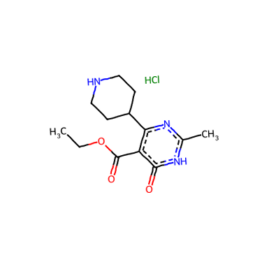 CCOC(=O)c1c(C2CCNCC2)nc(C)[nH]c1=O.Cl